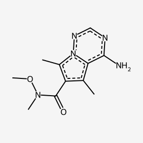 CON(C)C(=O)c1c(C)c2c(N)ncnn2c1C